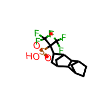 O=S(=O)(O)C(C1CC2CC1C1C3CCC(C3)C21)(C(F)(F)F)C(F)(F)F